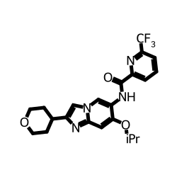 CC(C)Oc1cc2nc(C3CCOCC3)cn2cc1NC(=O)c1cccc(C(F)(F)F)n1